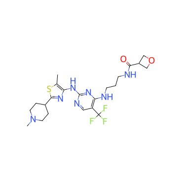 Cc1sc(C2CCN(C)CC2)nc1Nc1ncc(C(F)(F)F)c(NCCCNC(=O)C2COC2)n1